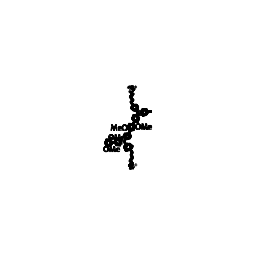 COc1ccc(OC)c(-c2ccc(N(c3ccc(CCCCC[N+](C)(C)C)cc3)c3ccc(-c4cc(OC)c(-c5ccc(N(c6ccc(C)cc6)c6ccc(CCCCC[N+](C)(C)C)cc6)cc5)cc4OC)cc3)cc2)c1